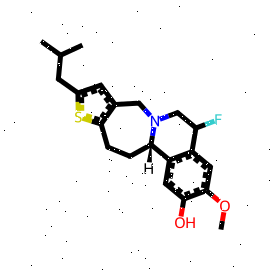 COc1cc2c(cc1O)[C@@H]1CCc3sc(CC(C)C)cc3CN1CC2F